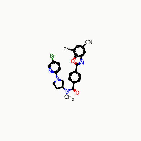 CC(C)c1cc(C#N)cc2nc(-c3ccc(C(=O)N(C)C4CCN(c5ccc(Br)cn5)C4)cc3)oc12